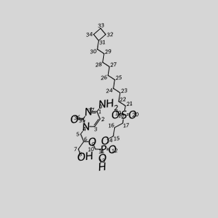 Nc1ccn(CC(CO)OCP(=O)(O)OCCCS(=O)(=O)CCCCCCCCCCC2CCC2)c(=O)n1